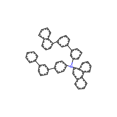 c1ccc(-c2cccc(-c3ccc(N(c4cccc(-c5cccc(-c6cccc7ccccc67)c5)c4)c4cc5ccccc5c5ccccc45)cc3)c2)cc1